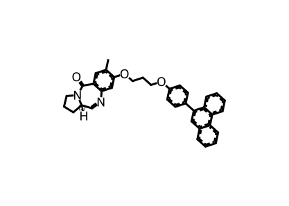 Cc1cc2c(cc1OCCCOc1ccc(-c3cc4ccccc4c4ccccc34)cc1)N=C[C@@H]1CCCN1C2=O